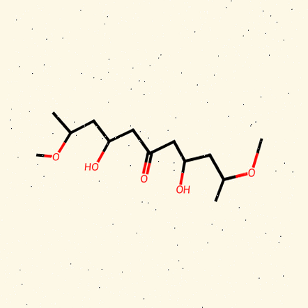 COC(C)CC(O)CC(=O)CC(O)CC(C)OC